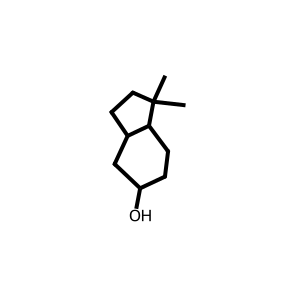 CC1(C)CCC2CC(O)CCC21